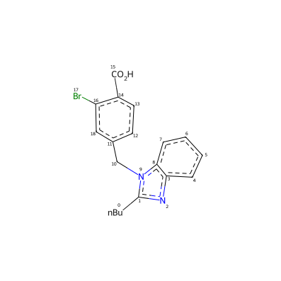 CCCCc1nc2ccccc2n1Cc1ccc(C(=O)O)c(Br)c1